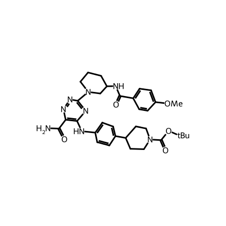 COc1ccc(C(=O)NC2CCCN(c3nnc(C(N)=O)c(Nc4ccc(C5CCN(C(=O)OC(C)(C)C)CC5)cc4)n3)C2)cc1